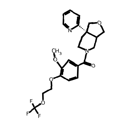 COc1cc(C(=O)N2CC[C@@]3(c4ccccn4)COCC3C2)ccc1OCCOC(F)(F)F